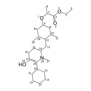 CCOC(=O)C(C)OC1CC(C)C(CC2CCC(O)=C(C3CCCCC3)N2C)C(C)C1